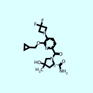 CC1(O)C[C@@H](C(N)=O)N(C(=O)c2ccc(N3CC(F)(F)C3)c(OCC3CC3)n2)C1